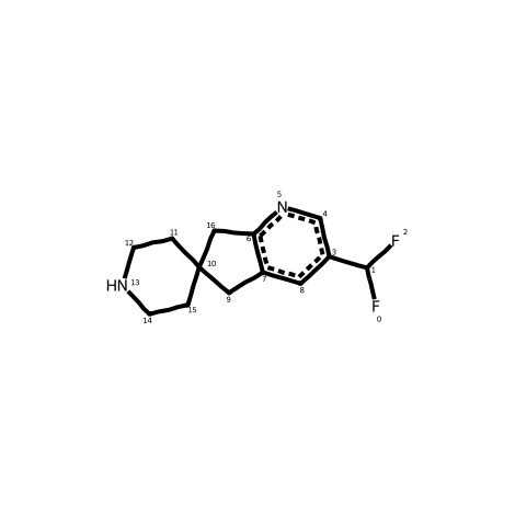 FC(F)c1cnc2c(c1)CC1(CCNCC1)C2